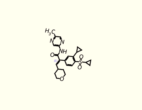 Cc1cnc(NC(=O)/C(=C/C2CCOCC2)c2ccc(S(=O)(=O)C3CC3)c(C3CC3)c2)cn1